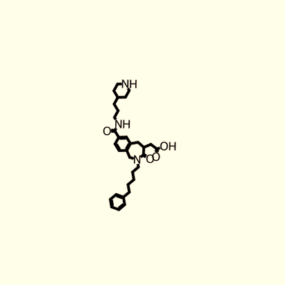 O=C(O)CC1Cc2cc(C(=O)NCCCC3CCNCC3)ccc2CN(CCCCCc2ccccc2)C1=O